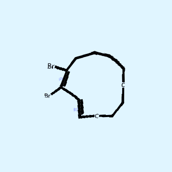 BrC1=C(\Br)CCCCCCCC\C=C\1